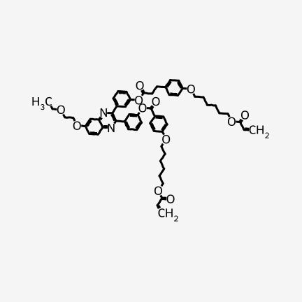 C=CC(=O)OCCCCCCOc1ccc(CCC(=O)Oc2cccc(-c3nc4cc(OCCOCC)ccc4nc3-c3cccc(OC(=O)c4ccc(OCCCCCCOC(=O)C=C)cc4)c3)c2)cc1